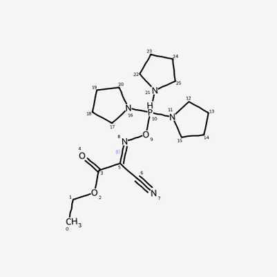 CCOC(=O)/C(C#N)=N/O[PH](N1CCCC1)(N1CCCC1)N1CCCC1